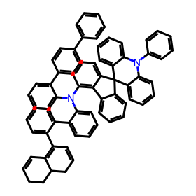 C1=CC2=C(c3ccccc3-c3ccccc3N(c3ccccc3-c3ccc(-c4ccccc4)cc3)c3cccc4c3-c3ccccc3C43c4ccccc4N(c4ccccc4)c4ccccc43)C=CCC2CC1